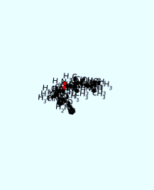 CC[C@H](C)[C@H](NC(=O)[C@@H]1CCCN1C(=O)[C@H](CC(C)C)NC(=O)[C@@H](N)Cc1ccccc1)C(=O)N[C@H](C(=O)N[C@H](C(=O)N[C@@H](CC(N)=O)C(=O)N[C@@H](CC(C)C)C(=O)N[C@@H](CC(C)C)C(=O)N[C@@H](CO)C(=O)NCC(=O)N[C@@H](CC(C)C)C(=O)N[C@@H](CC(C)C)C(=O)O)[C@@H](C)O)C(C)C